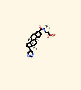 CN(CCC(=O)O)C(=O)c1ccc2c(c1)CC[C@@H]1[C@@H]2CC[C@]2(C)C(c3cncnc3)=CC[C@@H]12